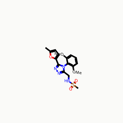 COc1cccc(OC)c1-n1c(CNS(C)(=O)=O)nnc1-c1ccc(C)o1